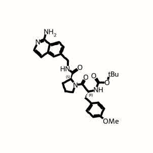 COc1ccc(C[C@@H](NC(=O)OC(C)(C)C)C(=O)N2CCC[C@H]2C(=O)NCc2ccc3c(N)nccc3c2)cc1